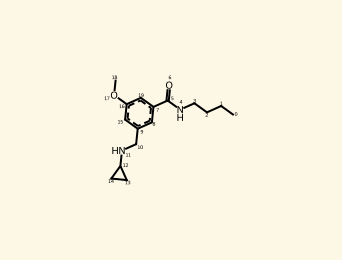 CCCCNC(=O)c1cc(CNC2CC2)cc(OC)c1